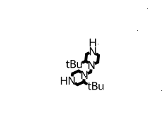 CC(C)(C)C1CNCCN1CN1CCNCC1C(C)(C)C